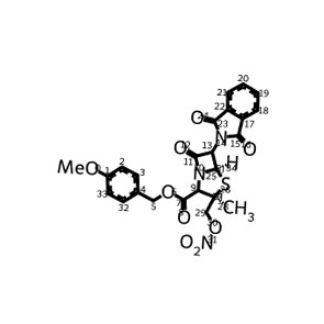 COc1ccc(COC(=O)C2N3C(=O)C(N4C(=O)c5ccccc5C4=O)[C@H]3S[C@@]2(C)CO[N+](=O)[O-])cc1